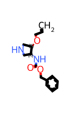 C=CCO[C@@H]1CNC[C@H]1NC(=O)OCc1ccccc1